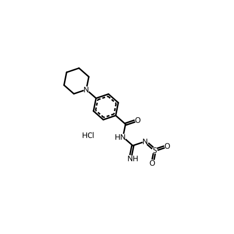 Cl.N=C(N=S(=O)=O)NC(=O)c1ccc(N2CCCCC2)cc1